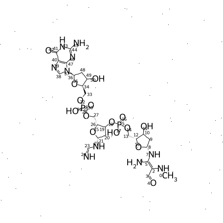 CN/C(C=O)=C(/N)N[C@H]1CC(O)[C@@H](COP(=O)(O)OC2C[C@H](NC=N)O[C@@H]2COP(=O)(O)OC[C@H]2O[C@@H](n3cnc4c(=O)[nH]c(N)nc43)CC2O)O1